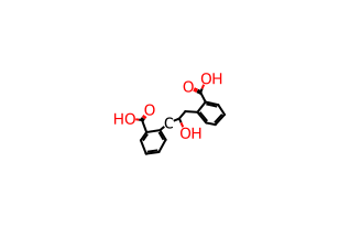 O=C(O)c1ccccc1CC(O)Cc1ccccc1C(=O)O